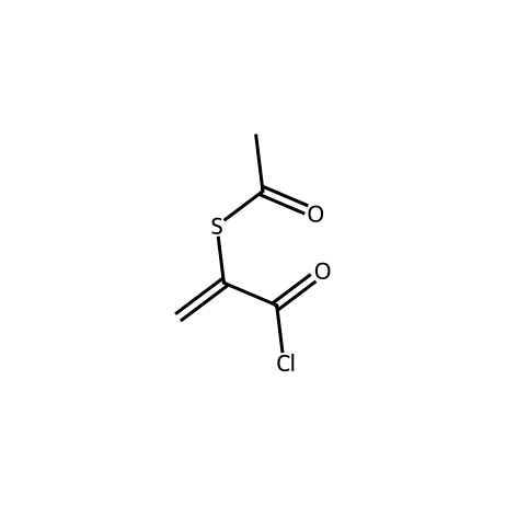 C=C(SC(C)=O)C(=O)Cl